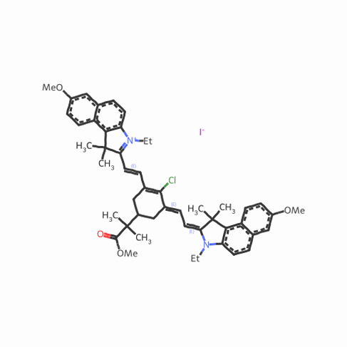 CCN1/C(=C/C=C2\CC(C(C)(C)C(=O)OC)CC(/C=C/C3=[N+](CC)c4ccc5cc(OC)ccc5c4C3(C)C)=C2Cl)C(C)(C)c2c1ccc1cc(OC)ccc21.[I-]